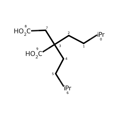 CC(C)CCC(CCC(C)C)(CC(=O)O)C(=O)O